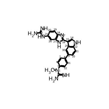 CN(C(=N)N)c1ccc(-c2ccc3[nH]cc(-c4nc5ccc(NC(=N)N)cc5[nH]4)c3c2)cc1